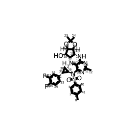 Cc1ccc(S(=O)(=O)N(c2nc(C)nc(N[C@@H]3C[C@H](O)[C@H]4OC(C)(C)O[C@H]43)c2N)[C@@H]2C[C@H]2c2ccc(F)c(F)c2)cc1